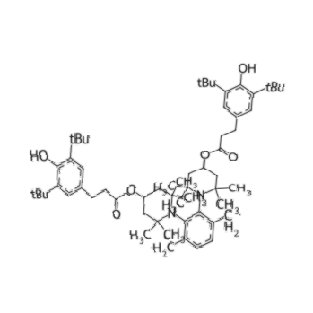 [CH2]c1ccc([CH2])c(N2C(C)(C)CC(OC(=O)CCc3cc(C(C)(C)C)c(O)c(C(C)(C)C)c3)CC2(C)C)c1N1C(C)(C)CC(OC(=O)CCc2cc(C(C)(C)C)c(O)c(C(C)(C)C)c2)CC1(C)C